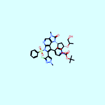 CC(CO)O[C@H]1C[C@@H](n2c(=O)n(C)c3cnc4c(c(-c5ccc(O)cc5)c(-c5cn(C)nc5F)n4S(=O)(=O)c4ccccc4)c32)C[C@@H]1NC(=O)OC(C)(C)C